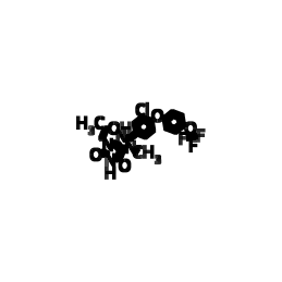 CC(O)Cn1c(=O)[nH]c(=O)c2c1nc(-c1ccc(Oc3ccc(OC(F)(F)F)cc3)c(Cl)c1)n2C